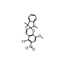 COc1cc([N+](=O)[O-])c(Cl)c2c1OC1(C=C2)N(C)c2ccccc2C1(C)C